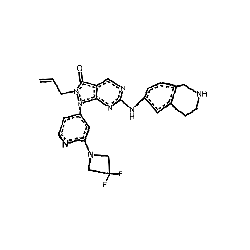 C=CCn1c(=O)c2cnc(Nc3ccc4c(c3)CCNC4)nc2n1-c1ccnc(N2CC(F)(F)C2)c1